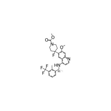 COC(=O)N1CCC(F)(c2cc3c(N[C@H](C)c4cccc(C(F)(F)F)c4C)ccnc3cc2OC)CC1